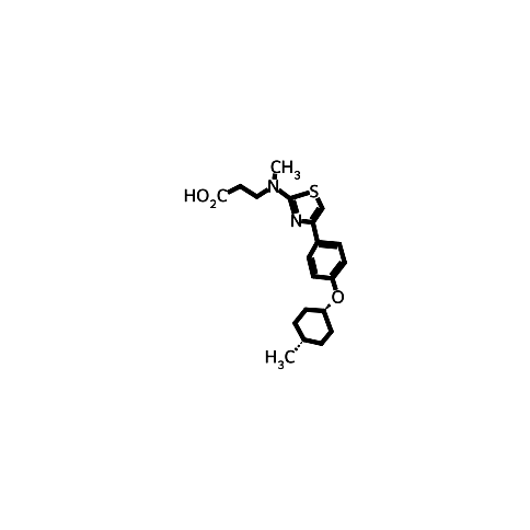 CN(CCC(=O)O)c1nc(-c2ccc(O[C@H]3CC[C@@H](C)CC3)cc2)cs1